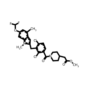 COC(=O)CC1CCN(C(=O)c2ccc(Cl)c(Cc3cc4c(C)cc(OC(F)F)cc4n3C)c2Cl)CC1